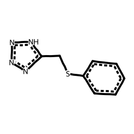 c1ccc(SCc2nnn[nH]2)cc1